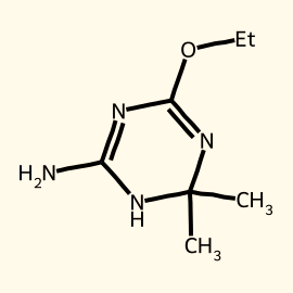 CCOC1=NC(C)(C)NC(N)=N1